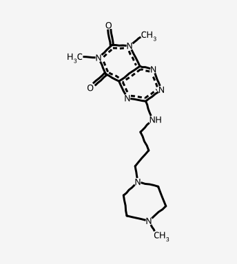 CN1CCN(CCCNc2nnc3c(n2)c(=O)n(C)c(=O)n3C)CC1